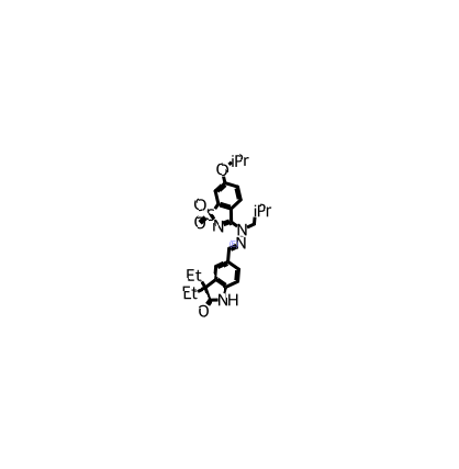 CCC1(CC)C(=O)Nc2ccc(/C=N/N(CC(C)C)C3=NS(=O)(=O)c4cc(OC(C)C)ccc43)cc21